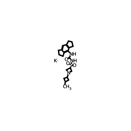 CC1CC(N2CC(S(=O)(=O)NC(=O)Nc3c4c(cc5c3CCC5)CCC4)C2)C1.[K]